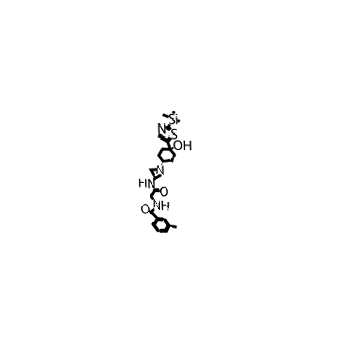 Cc1cccc(C(=O)NCC(=O)NC2CN([C@H]3CC[C@@](O)(c4cnc([Si](C)(C)C)s4)CC3)C2)c1